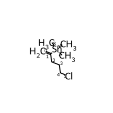 C=[C](CCCCl)[Sn]([CH3])([CH3])[CH3]